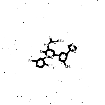 Cc1cc(-c2cc(NC(=O)OC(C)(C)C)c(=O)n(-c3cc(Br)ccc3C(F)(F)F)n2)cc(-c2cnco2)c1